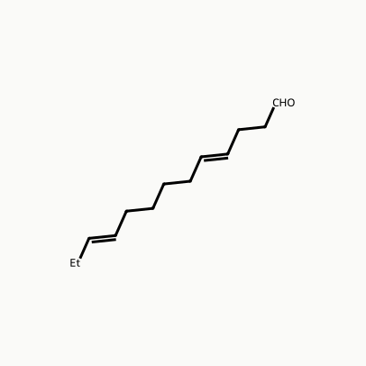 CC/C=C/CCCC/C=C/CCC=O